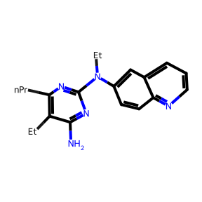 CCCc1nc(N(CC)c2ccc3ncccc3c2)nc(N)c1CC